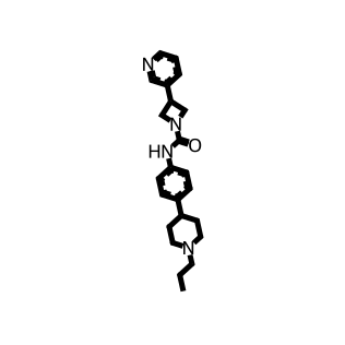 CCCN1CCC(c2ccc(NC(=O)N3CC(c4cccnc4)C3)cc2)CC1